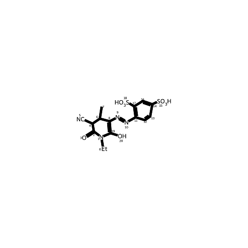 CCN1C(=O)C(C#N)C(C)C(N=Nc2ccc(S(=O)(=O)O)cc2S(=O)(=O)O)=C1O